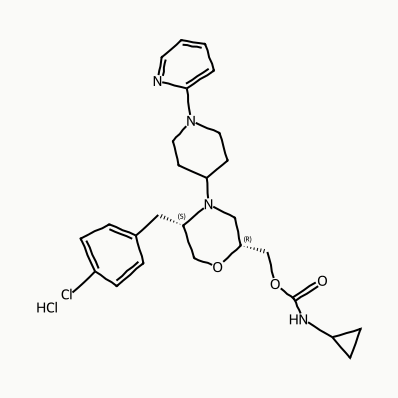 Cl.O=C(NC1CC1)OC[C@H]1CN(C2CCN(c3ccccn3)CC2)[C@@H](Cc2ccc(Cl)cc2)CO1